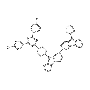 Clc1ccc(-c2nc(-c3ccc(Cl)cc3)nc(-c3ccc(-n4c5ccccc5c5ccc(-c6ccc7c(c6)c6ccccc6n7-c6ccccc6)cc54)cc3)n2)cc1